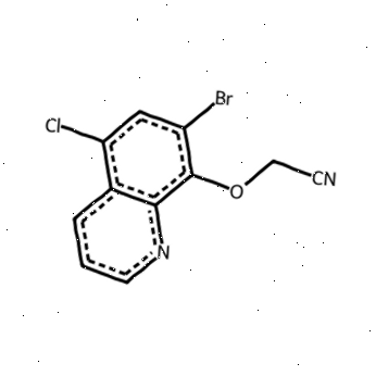 N#CCOc1c(Br)cc(Cl)c2cccnc12